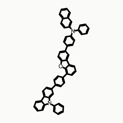 c1ccc(N(c2ccc(-c3ccc4oc5c(-c6ccc(-c7ccc8c9ccccc9n(-c9ccccc9)c8c7)cc6)cccc5c4c3)cc2)c2ccc3ccccc3c2)cc1